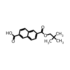 CC(C)(C)COC(=O)c1ccc2cc(C(=O)O)ccc2c1